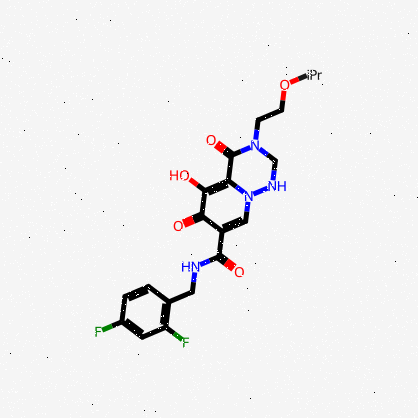 CC(C)OCCN1CNn2cc(C(=O)NCc3ccc(F)cc3F)c(=O)c(O)c2C1=O